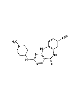 CN1CCC(Nc2ncc3c(n2)Nc2ccc(C#N)cc2NC3=O)CC1